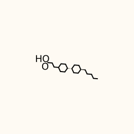 CCCCC[C@H]1CC[C@H](C2CCC(CCC(=O)O)CC2)CC1